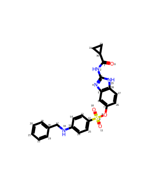 O=C(Nc1nc2cc(OS(=O)(=O)c3ccc(NCc4ccccc4)cc3)ccc2[nH]1)C1CC1